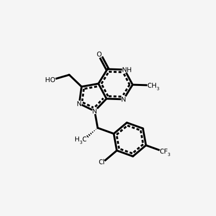 Cc1nc2c(c(CO)nn2[C@@H](C)c2ccc(C(F)(F)F)cc2Cl)c(=O)[nH]1